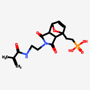 C=C(C)C(=O)NCCN1C(=O)C2C3C=CC(CCP(=O)(O)O)(O3)C2C1=O